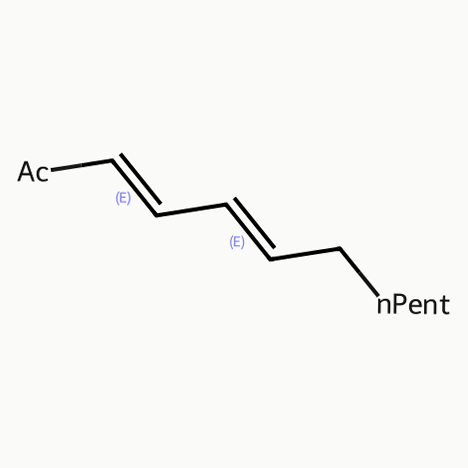 CCCCCC/C=C/C=C/C(C)=O